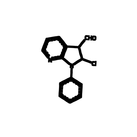 O=CC1c2cccnc2N(c2ccccc2)C1Cl